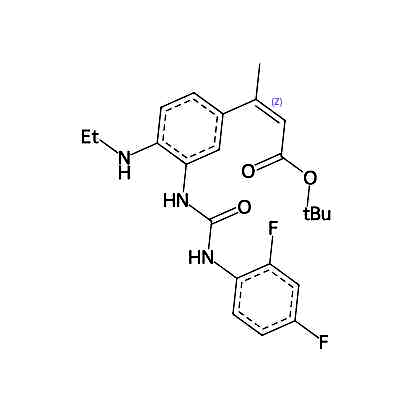 CCNc1ccc(/C(C)=C\C(=O)OC(C)(C)C)cc1NC(=O)Nc1ccc(F)cc1F